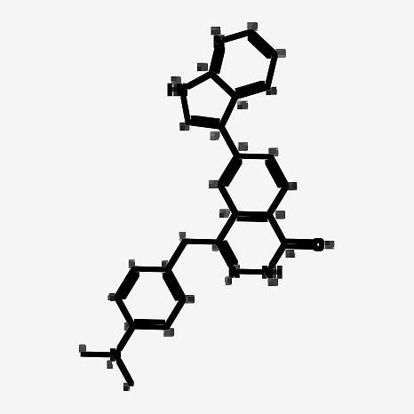 CN(C)c1ccc(Cc2n[nH]c(=O)c3ccc(-c4c[nH]c5ncccc45)cc23)cc1